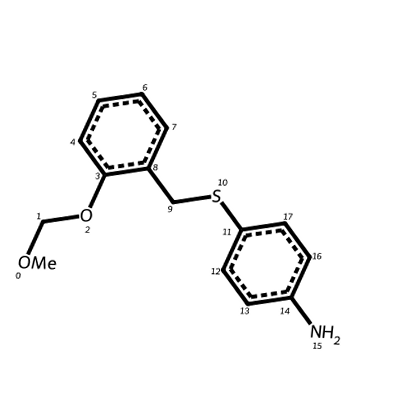 COCOc1ccccc1CSc1ccc(N)cc1